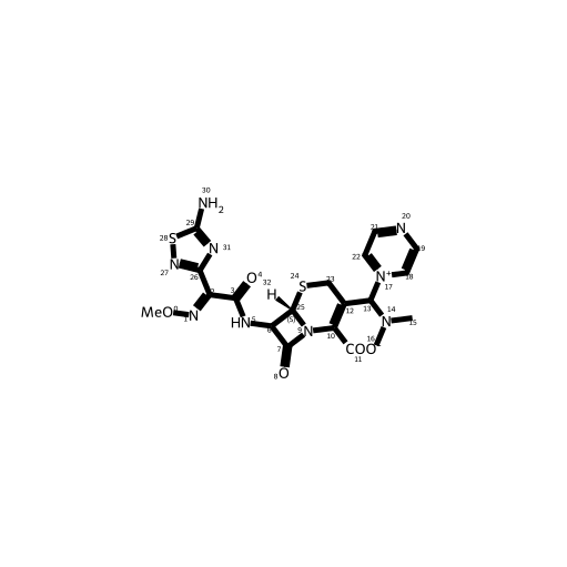 CON=C(C(=O)NC1C(=O)N2C(C(=O)[O-])=C(C(N(C)C)[n+]3ccncc3)CS[C@@H]12)c1nsc(N)n1